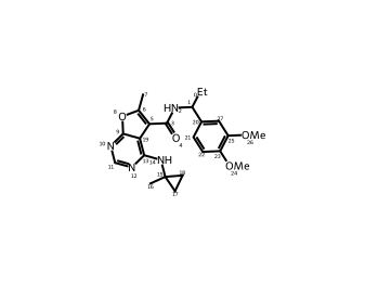 CCC(NC(=O)c1c(C)oc2ncnc(NC3(C)CC3)c12)c1ccc(OC)c(OC)c1